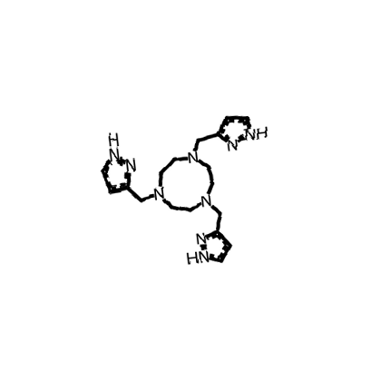 c1cc(CN2CCN(Cc3cc[nH]n3)CCN(Cc3cc[nH]n3)CC2)n[nH]1